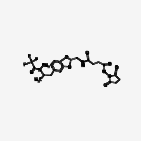 CC(Cc1ccc2c(c1)OC(CNC(=O)CCC(=O)ON1C(=O)CCC1=O)O2)N(C)C(=O)C(F)(F)F